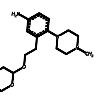 CN1CCN(c2ccc(N)cc2CCOC2CCCCO2)CC1